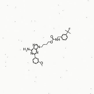 COc1cccc(-c2nc(N)c3ncn(CCCCOC(=O)NCc4cccc(C(C)(C)F)c4)c3n2)c1